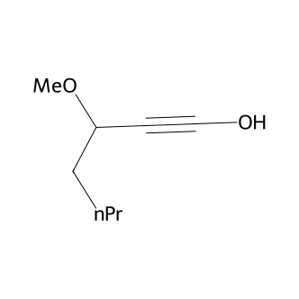 CCCCC(C#CO)OC